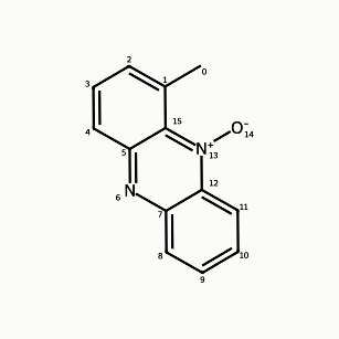 Cc1cccc2nc3ccccc3[n+]([O-])c12